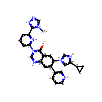 CC(C)n1cnnc1-c1cccc(-n2cnc3cc(-c4cccnc4)c(-n4cnc(C5CC5)c4)cc3c2=O)n1